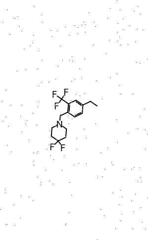 CCc1ccc(CN2CCC(F)(F)CC2)c(C(F)(F)F)c1